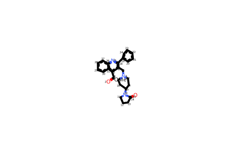 COC(=O)c1c(CN2CCC(N3CCCC3=O)CC2)c(-c2ccccc2)nc2ccccc12